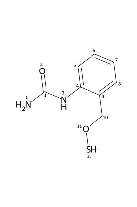 NC(=O)Nc1ccccc1COS